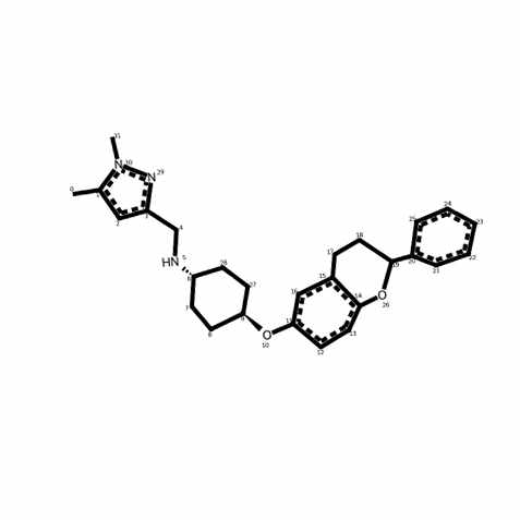 Cc1cc(CN[C@H]2CC[C@H](Oc3ccc4c(c3)CCC(c3ccccc3)O4)CC2)nn1C